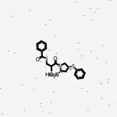 CC(CSC(=O)c1ccccc1)C(=O)N1C[C@@H](Sc2ccccc2)C[C@H]1C(=O)O.[NaH]